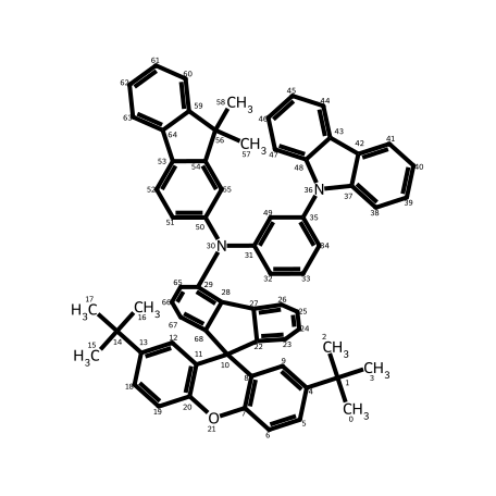 CC(C)(C)c1ccc2c(c1)C1(c3cc(C(C)(C)C)ccc3O2)c2ccccc2-c2c(N(c3cccc(-n4c5ccccc5c5ccccc54)c3)c3ccc4c(c3)C(C)(C)c3ccccc3-4)cccc21